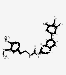 COc1ccc(CCNC(=O)Nc2cnc3ccc(-c4cc(Cl)c(O)c(Cl)c4)cc3n2)cc1OC